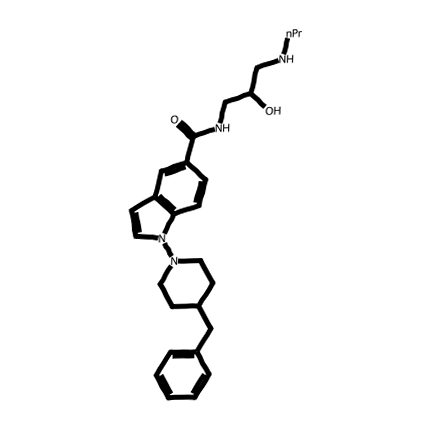 CCCNCC(O)CNC(=O)c1ccc2c(ccn2N2CCC(Cc3ccccc3)CC2)c1